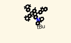 Cc1cc2c3c(c1)[C@@H](c1ccc4c(c1)C(C)(C)CCC4(C)C)c1cc4c(cc1B3c1ccc(N3c5ccc(C(C)(C)C)cc5C5(C)CCCCC35C)cc1C2c1ccc2c(c1)C(C)(C)c1ccccc1-2)C(C)(C)CCC4(C)C